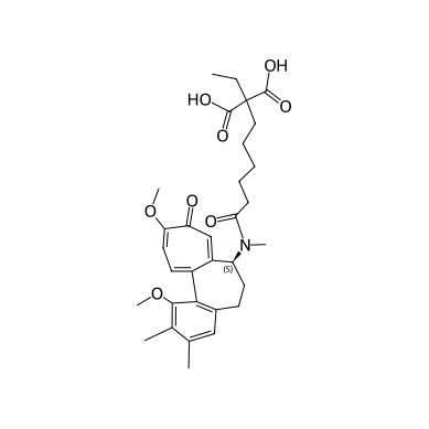 CCC(CCCCCC(=O)N(C)[C@H]1CCc2cc(C)c(C)c(OC)c2-c2ccc(OC)c(=O)cc21)(C(=O)O)C(=O)O